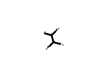 [CH2]C(F)[C](F)F